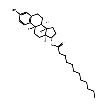 CCCCCCCCCCCC(=O)O[C@H]1CC[C@H]2[C@@H]3CCc4cc(O)ccc4[C@H]3CC[C@]12C